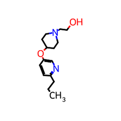 CCCc1ccc(OC2CCN(CCO)CC2)cn1